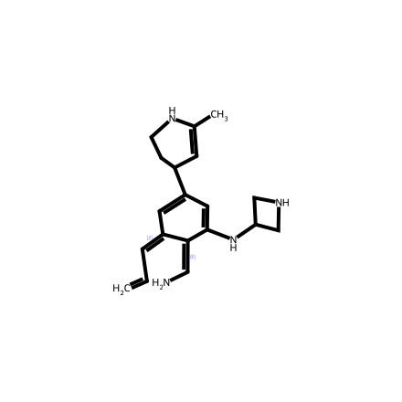 C=C/C=c1/cc(C2C=C(C)NCC2)cc(NC2CNC2)/c1=C/N